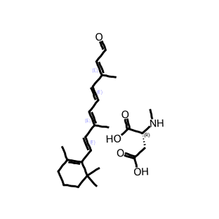 CC1=C(/C=C/C(C)=C/C=C/C(C)=C/C=O)C(C)(C)CCC1.CN[C@H](CC(=O)O)C(=O)O